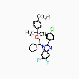 CC(C)(OCC(C1CCCCC1)n1c(-c2ccc(Cl)cc2)nc2cc(F)c(F)cc21)c1ccc(C(=O)O)cc1